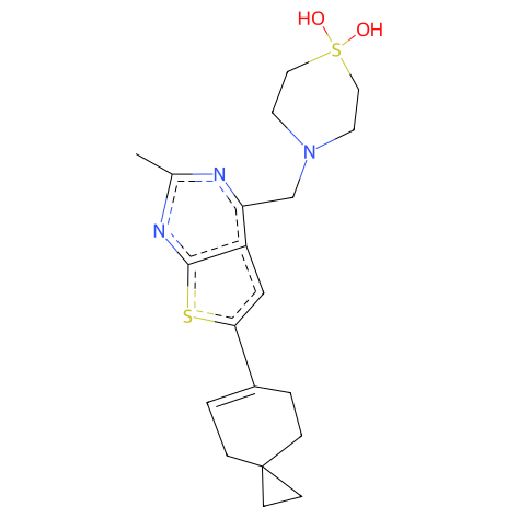 Cc1nc(CN2CCS(O)(O)CC2)c2cc(C3=CCC4(CC3)CC4)sc2n1